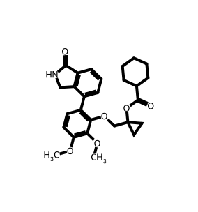 COc1ccc(-c2cccc3c2CNC3=O)c(OCC2(OC(=O)C3CCCCC3)CC2)c1OC